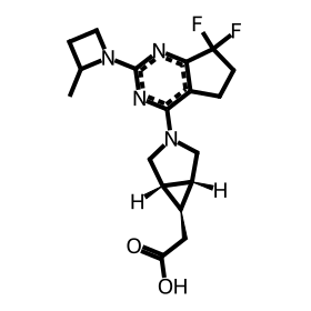 CC1CCN1c1nc(N2C[C@@H]3[C@@H](CC(=O)O)[C@@H]3C2)c2c(n1)C(F)(F)CC2